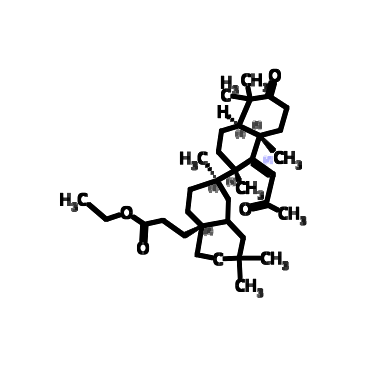 CCOC(=O)CC[C@]12CCC(C)(C)CC1C[C@](C)([C@]1(C)CC[C@H]3C(C)(C)C(=O)CC[C@]3(C)/C1=C/C(C)=O)CC2